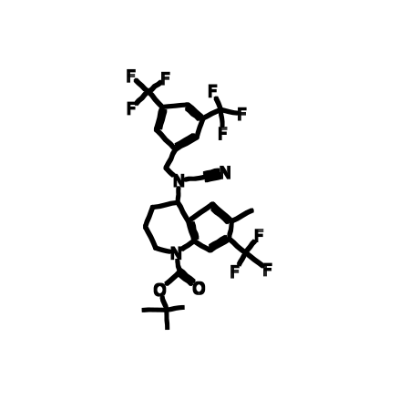 Cc1cc2c(cc1C(F)(F)F)N(C(=O)OC(C)(C)C)CCCC2N(C#N)Cc1cc(C(F)(F)F)cc(C(F)(F)F)c1